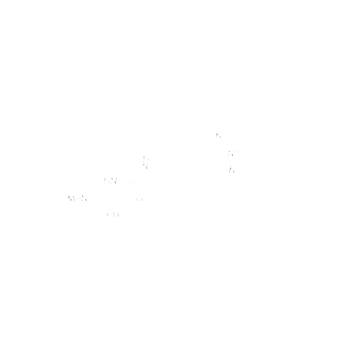 CNC(C)NC(=O)NCc1cccc(N=[N+]=[N-])c1